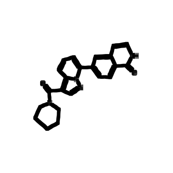 O=C(c1cnn2c(-c3ccc4c(=O)[nH]ccc4c3)cccc12)N1CCCCC1